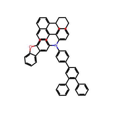 c1ccc(-c2ccc(-c3ccc(N(c4ccc5oc6ccccc6c5c4)c4ccccc4-c4cccc5cccc(C6CCCCC6)c45)cc3)cc2-c2ccccc2)cc1